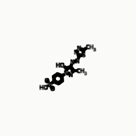 Cc1nnc(N=Nc2c(C)nn(-c3ccc(S(=O)(=O)O)cc3)c2O)s1